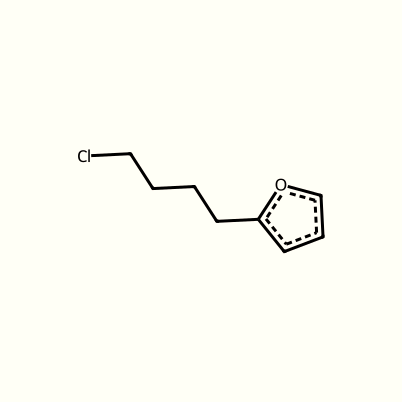 ClCCCCc1ccco1